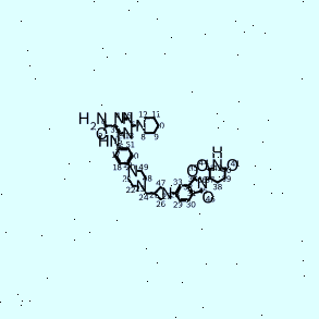 NC(=O)c1nnc(N2CCCCC2)nc1Nc1ccc(N2CCN(CC3CN(c4ccc5c(c4)C(=O)N(C4CCC(=O)NC4=O)C5=O)C3)CC2)cc1